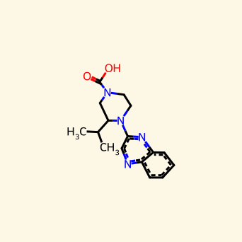 CC(C)C1CN(C(=O)O)CCN1c1cnc2ccccc2n1